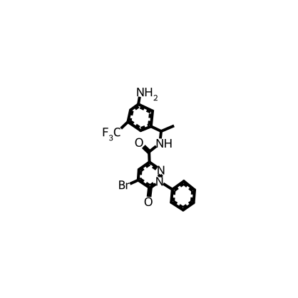 CC(NC(=O)c1cc(Br)c(=O)n(-c2ccccc2)n1)c1cc(N)cc(C(F)(F)F)c1